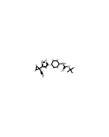 CC(C)(C)OC(=O)N[C@H]1CC[C@H](c2cc(C3(C#N)CC3)no2)CC1